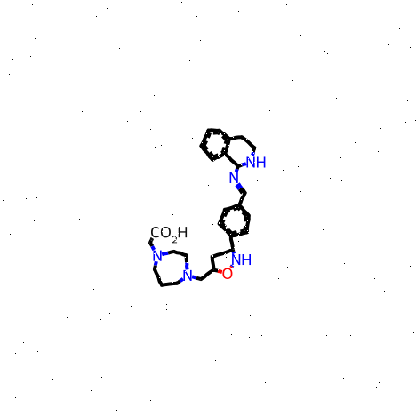 O=C(O)CN1CCCN(CC2CC(c3ccc(C=NC4NCCc5ccccc54)cc3)NO2)CC1